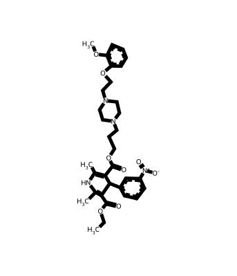 CCOC(=O)C1=C(C)NC(C)=C(C(=O)OCCCN2CCN(CCOc3ccccc3OC)CC2)C1c1cccc([N+](=O)[O-])c1